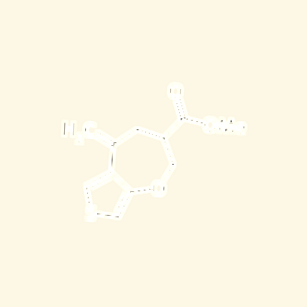 C=C1CC(C(=O)OC)COc2cscc21